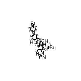 CCN1CCN(c2cccc(CC(C)(C)NCc3cnc(C#N)nc3NCC(C)(C)C)c2)CC1